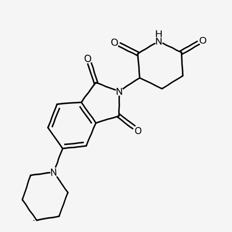 O=C1CCC(N2C(=O)c3ccc(N4CC[CH]CC4)cc3C2=O)C(=O)N1